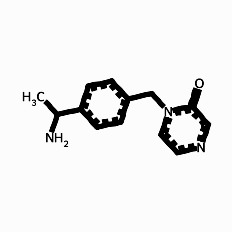 CC(N)c1ccc(Cn2ccncc2=O)cc1